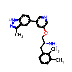 Cc1cccc(C[C@H](N)COc2cncc(-c3ccc4[nH]nc(C)c4c3)c2)c1C